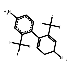 Nc1ccc(C2=CCC(N)C=C2C(F)(F)F)c(C(F)(F)F)c1